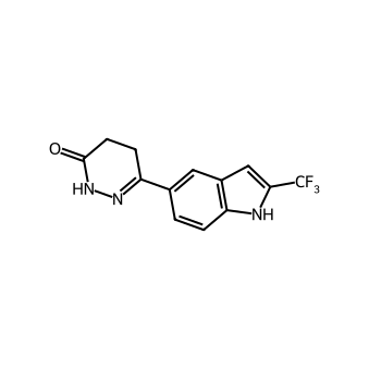 O=C1CCC(c2ccc3[nH]c(C(F)(F)F)cc3c2)=NN1